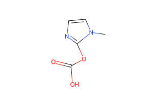 Cn1ccnc1OC(=O)O